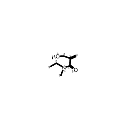 C=C(CO)C(=O)N(C)CC